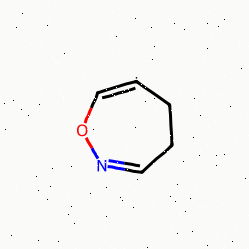 [C]1=CON=CCC1